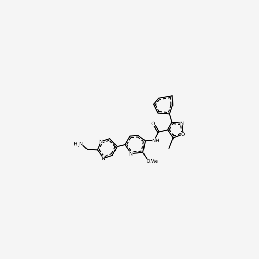 COc1nc(-c2cnc(CN)nc2)ccc1NC(=O)c1c(-c2ccccc2)noc1C